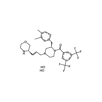 Cc1ccc(C[C@@H]2CN(CC=C[C@@H]3COCCN3)CCN2C(=O)c2cc(C(F)(F)F)cc(C(F)(F)F)c2)cc1C.Cl.Cl